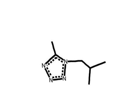 Cc1nnnn1CC(C)C